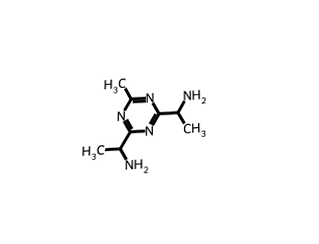 Cc1nc(C(C)N)nc(C(C)N)n1